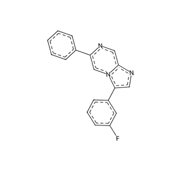 Fc1cccc(-c2cnc3cnc(-c4ccccc4)cn23)c1